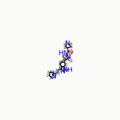 Cc1nc(NC(=O)c2ccncc2)sc1-c1ccc2c(/C=C/c3ccccn3)n[nH]c2c1